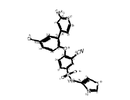 N#Cc1cc(S(=O)(=O)Nc2cscn2)ccc1Oc1ccc(Cl)cc1-c1ccnc(N)c1